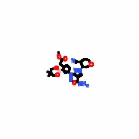 COC(=O)Cc1ccc(Nc2nn([C@H]3COCC[C@@H]3C#N)cc2C(N)=O)cc1B1OCC(C)(C)CO1